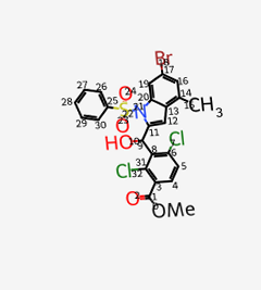 COC(=O)c1ccc(Cl)c(C(O)c2cc3c(C)cc(Br)cc3n2S(=O)(=O)c2ccccc2)c1Cl